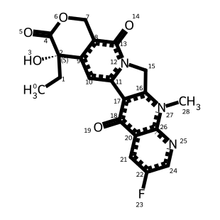 CC[C@@]1(O)C(=O)OCc2c1cc1n(c2=O)Cc2c-1c(=O)c1cc(F)cnc1n2C